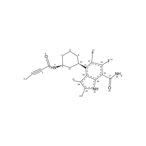 CC#CC(=O)N[C@H]1CCC[C@@H](c2c(F)c(F)c(C(N)=O)c3[nH]c(C)c(C)c23)C1